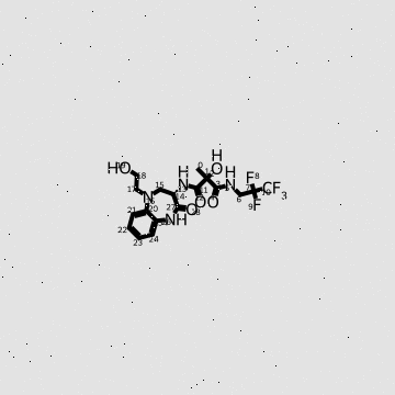 CC(O)(C(=O)NCC(F)(F)C(F)(F)F)C(=O)N[C@H]1CN(CCO)c2ccccc2NC1=O